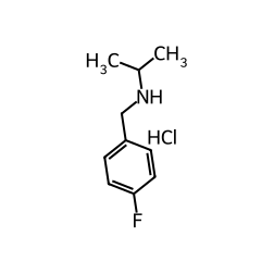 CC(C)NCc1ccc(F)cc1.Cl